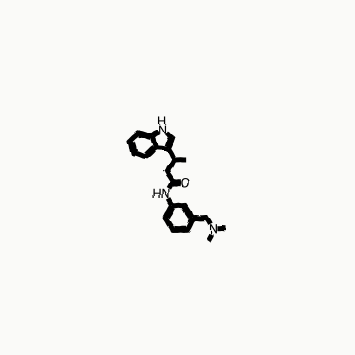 CC([CH]C(=O)Nc1cccc(CN(C)C)c1)c1c[nH]c2ccccc12